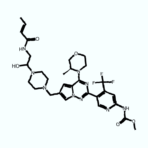 C/C=C/C(=O)NCC(O)N1CCN(Cc2cc3c(N4CCOC[C@@H]4C)nc(-c4cnc(NC(=O)OC)cc4C(F)(F)F)nn3c2)CC1